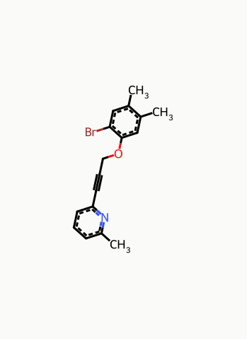 Cc1cccc(C#CCOc2cc(C)c(C)cc2Br)n1